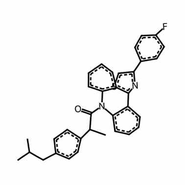 CC(C)Cc1ccc(C(C)C(=O)N(c2ccccc2)c2ccccc2-c2nc(-c3ccc(F)cc3)cs2)cc1